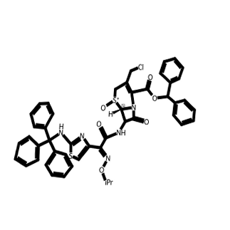 CC(C)ON=C(C(=O)NC1C(=O)N2C(C(=O)OC(c3ccccc3)c3ccccc3)=C(CCl)C[S+]([O-])[C@@H]12)c1csc(NC(c2ccccc2)(c2ccccc2)c2ccccc2)n1